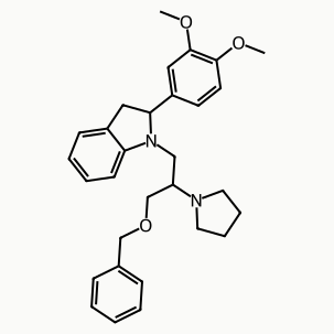 COc1ccc(C2Cc3ccccc3N2CC(COCc2ccccc2)N2CCCC2)cc1OC